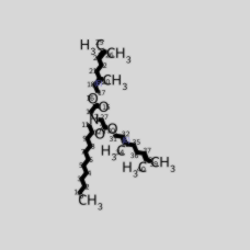 CCCCCCCCCCCCN(CC(=O)OC/C=C(\C)CCC=C(C)C)CC(=O)OC/C=C(\C)CCC=C(C)C